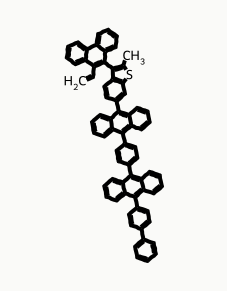 C=Cc1c(-c2c(C)sc3cc(-c4c5ccccc5c(-c5ccc(-c6c7ccccc7c(-c7ccc(-c8ccccc8)cc7)c7ccccc67)cc5)c5ccccc45)ccc23)c2ccccc2c2ccccc12